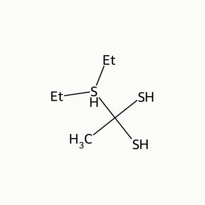 CC[SH](CC)C(C)(S)S